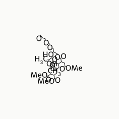 COC(=O)CC(C(=O)OCC(O)COCOCC1CO1)C(CC(=O)CC(C(=O)OC)C(C)C(=O)OC)C(=O)OCC(C)O